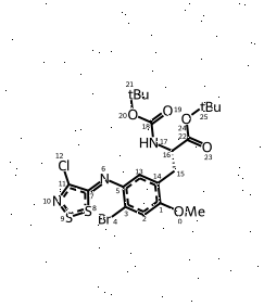 COc1cc(Br)c(/N=c2\ssnc2Cl)cc1C[C@H](NC(=O)OC(C)(C)C)C(=O)OC(C)(C)C